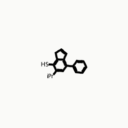 CC(C)c1cc(-c2ccccc2)c2c(c1S)CC=C2